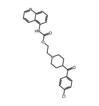 O=C(Nc1cccc2ncccc12)OCCN1CCC(C(=O)c2ccc(Cl)cc2)CC1